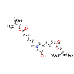 CCCCCCCCC(C)COC(=O)CCCCCN(CCO)CCCCCC(=O)OCC(CCCCCC)CCCCCCCC